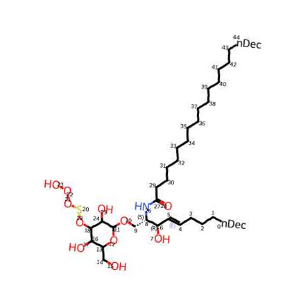 CCCCCCCCCCCCC/C=C/[C@@H](O)[C@H](COC1OC(CO)C(O)C(OSOOO)C1O)NC(=O)CCCCCCCCCCCCCCCCCCCCCCCCC